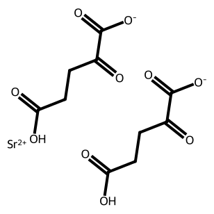 O=C(O)CCC(=O)C(=O)[O-].O=C(O)CCC(=O)C(=O)[O-].[Sr+2]